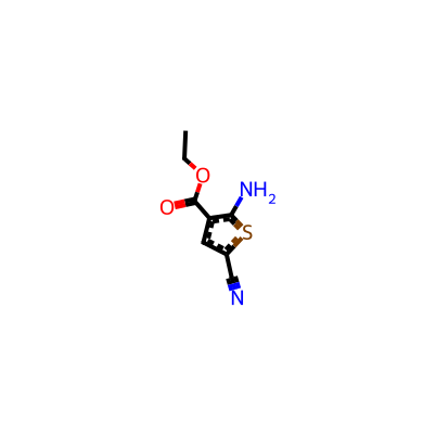 CCOC(=O)c1cc(C#N)sc1N